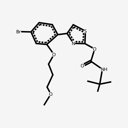 COCCCOc1cc(Br)ccc1-c1csc(OC(=O)NC(C)(C)C)n1